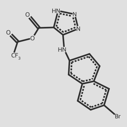 O=C(OC(=O)C(F)(F)F)c1[nH]nnc1Nc1ccc2cc(Br)ccc2c1